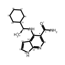 C[C@H](Nc1c(C(N)=O)cnc2[nH]ccc12)C1CCCCC1